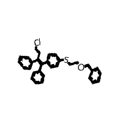 ClCCC(=C(c1ccccc1)c1ccc(SCCOCc2ccccc2)cc1)c1ccccc1